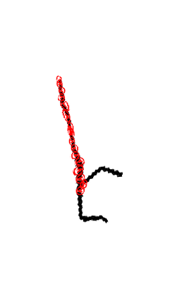 CCCCCCCC/C=C\CCCCCCCCOCC(COCCOCCOCCOCCOCCOCCOOOCCOCCOCCOCCOCCOC=O)OCCCCCCCC/C=C\CCCCCCCC